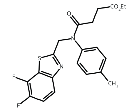 CCOC(=O)CCC(=O)N(Cc1nc2ccc(F)c(F)c2s1)c1ccc(C)cc1